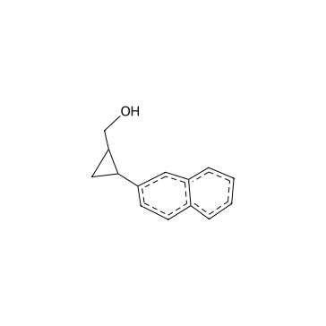 OCC1CC1c1ccc2ccccc2c1